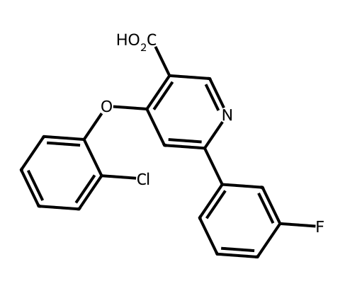 O=C(O)c1cnc(-c2cccc(F)c2)cc1Oc1ccccc1Cl